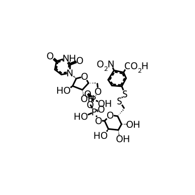 O=C(O)c1cc(SSC[C@H]2OC(OP(=O)(O)OP(=O)(O)OC[C@H]3O[C@@H](n4ccc(=O)[nH]c4=O)C(O)[C@H]3O)[C@H](O)[C@@H](O)[C@H]2O)ccc1[N+](=O)[O-]